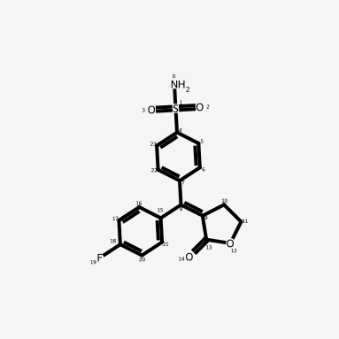 NS(=O)(=O)c1ccc(C(=C2CCOC2=O)c2ccc(F)cc2)cc1